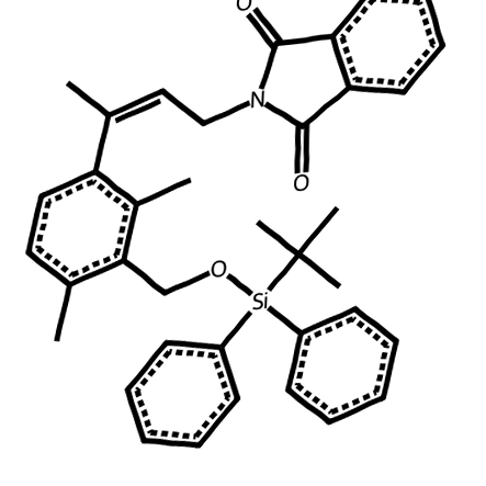 CC(=CCN1C(=O)c2ccccc2C1=O)c1ccc(C)c(CO[Si](c2ccccc2)(c2ccccc2)C(C)(C)C)c1C